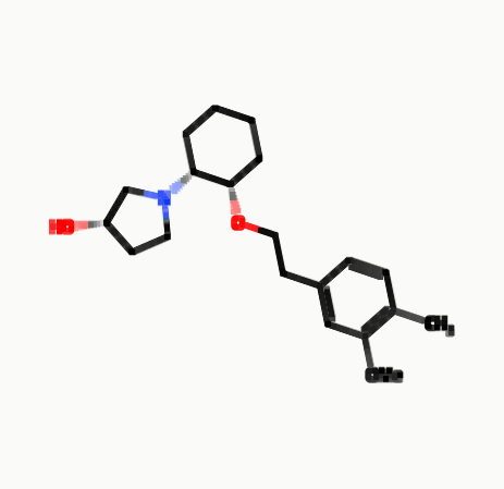 COc1cc(CCO[C@H]2CCCC[C@H]2N2CC[C@H](O)C2)ccc1C